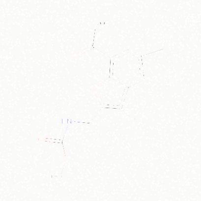 COC(=O)c1cc(C)cc2c(Br)c(CNC(=O)OC(C)(C)C)oc12